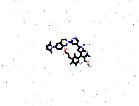 Cc1nc2c(cc(-c3ccnc(N4CCc5cc(-n6c(C)ccc6C)ccc5C4)c3)n2C)c(-c2cc(F)c(C)c(CCCO)c2C)c1[C@H](OC(C)(C)C)C(=O)O